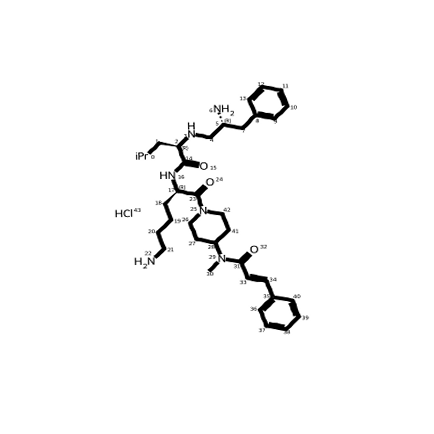 CC(C)C[C@@H](NC[C@H](N)Cc1ccccc1)C(=O)N[C@H](CCCCN)C(=O)N1CCC(N(C)C(=O)C=Cc2ccccc2)CC1.Cl